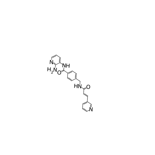 Nc1ncccc1NC(=O)c1ccc(CNC(=O)C=Cc2cccnc2)cc1